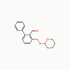 O=Cc1c(COC2CCCCO2)cccc1-c1ccccc1